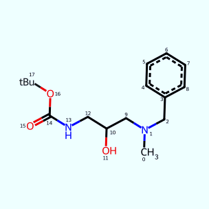 CN(Cc1ccccc1)CC(O)CNC(=O)OC(C)(C)C